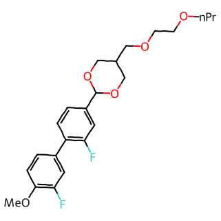 CCCOCCOCC1COC(c2ccc(-c3ccc(OC)c(F)c3)c(F)c2)OC1